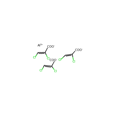 O=C([O-])C(Cl)=CCl.O=C([O-])C(Cl)=CCl.O=C([O-])C(Cl)=CCl.[Al+3]